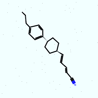 CCCc1ccc([C@H]2CC[C@H](C=CC=CC#N)CC2)cc1